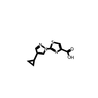 O=C(O)c1csc(-n2cc(C3CC3)cn2)n1